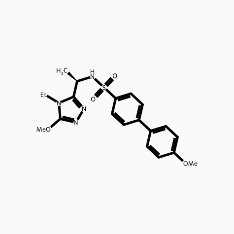 CCn1c(OC)nnc1[C@@H](C)NS(=O)(=O)c1ccc(-c2ccc(OC)cc2)cc1